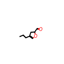 CCCC1=COC(C=O)C1